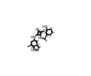 Cc1cc(Nc2c(N[C@H](C)c3cccc(O)c3)c(=O)c2=O)cc2cn[nH]c12